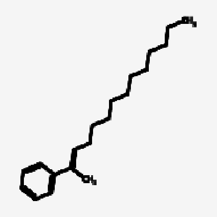 CCCCCCCCCCCC=C(C)c1ccccc1